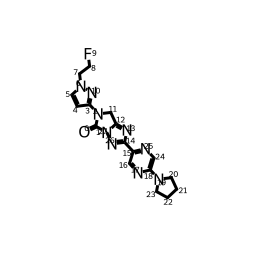 O=C1N(c2ccn(CCF)n2)Cc2nc(-c3cnc(N4CCCC4)cn3)nn21